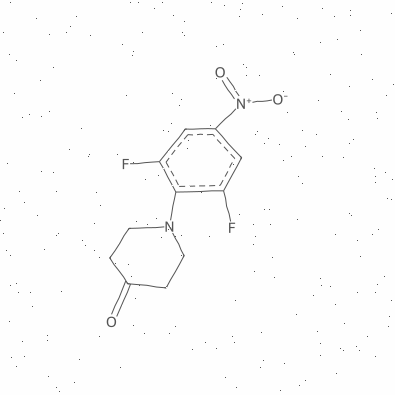 O=C1CCN(c2c(F)cc([N+](=O)[O-])cc2F)CC1